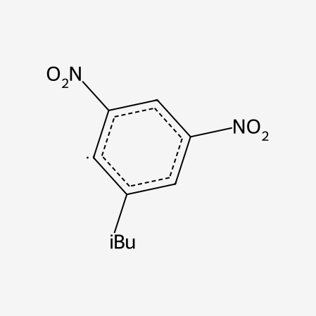 CCC(C)c1[c]c([N+](=O)[O-])cc([N+](=O)[O-])c1